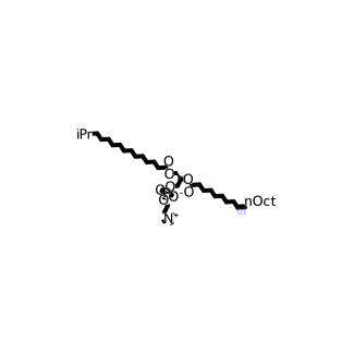 CCCCCCCC/C=C\CCCCCCCC(=O)O[C@H](COC(=O)CCCCCCCCCCCCC(C)C)COP(=O)([O-])OCC[N+](C)(C)C